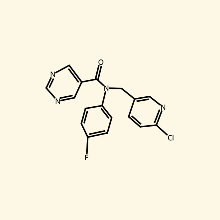 O=C(c1cncnc1)N(Cc1ccc(Cl)nc1)c1ccc(F)cc1